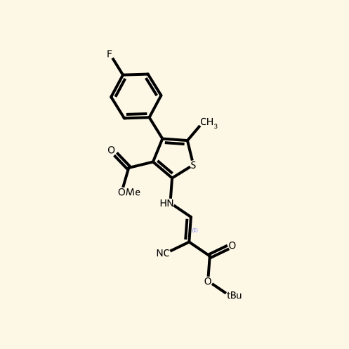 COC(=O)c1c(N/C=C(\C#N)C(=O)OC(C)(C)C)sc(C)c1-c1ccc(F)cc1